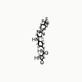 O=C1CC(C(=O)NCc2ccc(Nc3cnc(N4CCC(C(F)(F)F)CC4)nc3)cc2)CN1